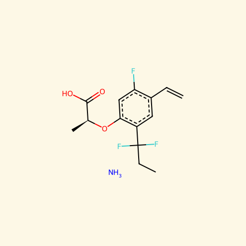 C=Cc1cc(C(F)(F)CC)c(O[C@@H](C)C(=O)O)cc1F.N